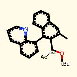 CC(=O)[C@@H](OC(C)(C)C)c1c(C)cc2ccccc2c1-c1cccc2cccnc12